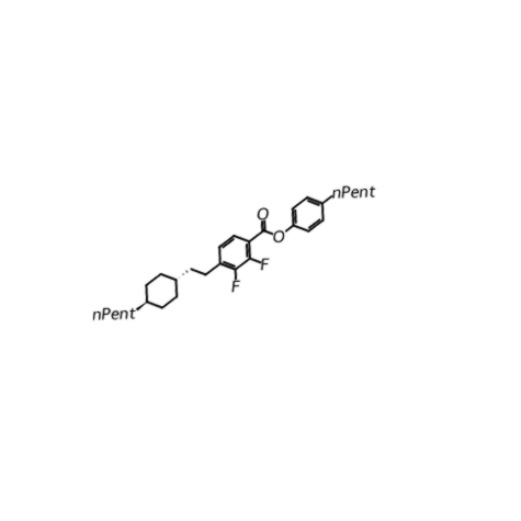 CCCCCc1ccc(OC(=O)c2ccc(CC[C@H]3CC[C@H](CCCCC)CC3)c(F)c2F)cc1